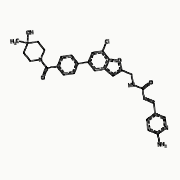 CC1(O)CCN(C(=O)c2ccc(-c3cc(Cl)c4oc(CNC(=O)/C=C/c5ccc(N)nc5)cc4c3)cc2)CC1